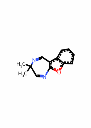 CC1(C)C=Nc2oc3ccccc3c2C=N1